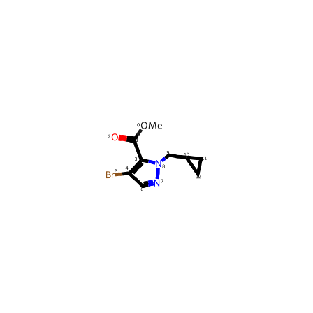 COC(=O)c1c(Br)cnn1CC1CC1